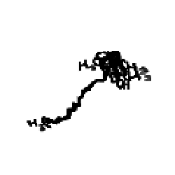 CCCCCCCCCCCCCCCCCCC(CC(=O)O)c1c(C(C)(C)C)cccc1C(C)(C)C